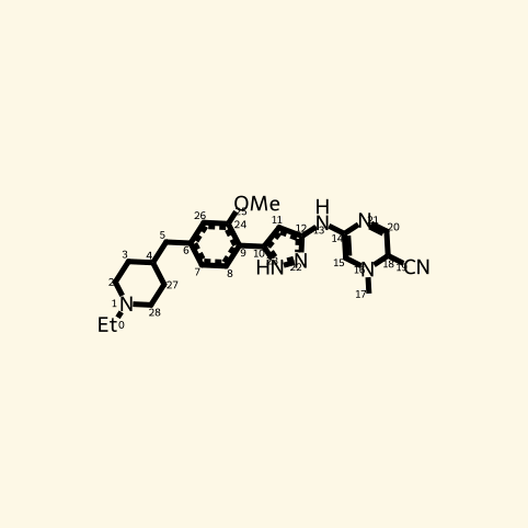 CCN1CCC(Cc2ccc(-c3cc(NC4=CN(C)C(C#N)C=N4)n[nH]3)c(OC)c2)CC1